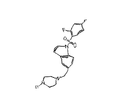 CCN1CCN(Cc2ccc3c(ccn3S(=O)(=O)c3ccc(F)cc3F)c2)CC1